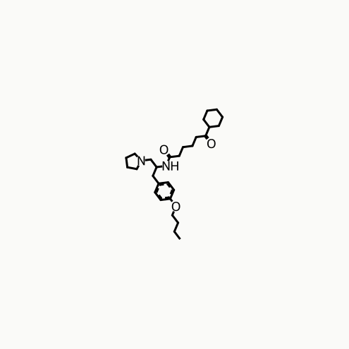 CCCCOc1ccc(CC(CN2CCCC2)NC(=O)CCCCC(=O)C2CCCCC2)cc1